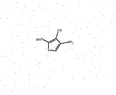 CSc1scc(N)c1C#N